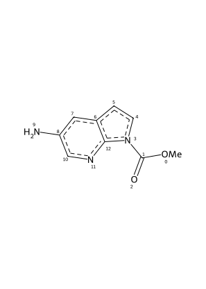 COC(=O)n1ccc2cc(N)cnc21